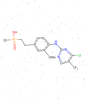 CCP(=O)(O)CCc1ccc(Nc2ncc(C(F)(F)F)c(Cl)n2)c(OC)c1